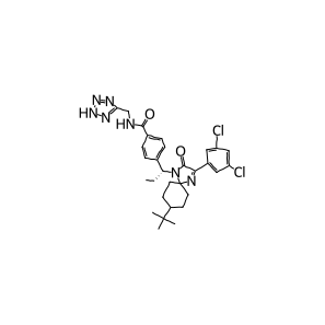 CC[C@H](c1ccc(C(=O)NCc2nn[nH]n2)cc1)N1C(=O)C(c2cc(Cl)cc(Cl)c2)=NC12CCC(C(C)(C)C)CC2